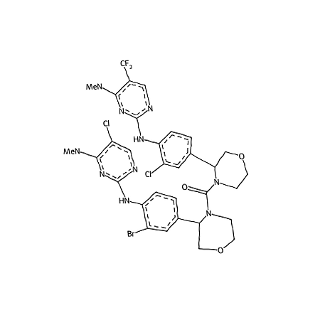 CNc1nc(Nc2ccc(C3COCCN3C(=O)N3CCOCC3c3ccc(Nc4ncc(C(F)(F)F)c(NC)n4)c(Cl)c3)cc2Br)ncc1Cl